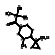 CCOC(=O)C1(C2CCN(C(=O)C(C)(O)C(F)(F)F)CC2C)CC1